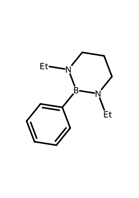 CCN1CCCN(CC)B1c1ccccc1